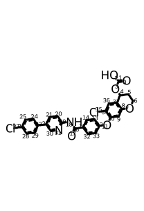 O=C(O)OC1CCOc2cc(Oc3ccc(C(=O)Nc4ccc(-c5ccc(Cl)cc5)cn4)cc3)c(Cl)cc21